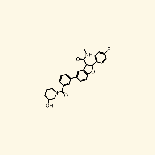 CNC(=O)C1c2cc(-c3cccc(C(=O)N4CCCC(O)C4)c3)ccc2OC1c1ccc(F)cc1